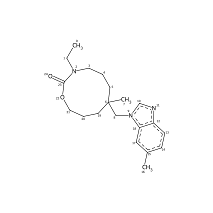 CCN1CCCC(C)(Cn2cnc3ccc(C)cc32)CCCOC1=O